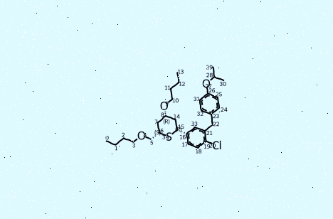 CCCCOC[C@@H]1C[C@H](OCCCC)C[C@H](c2ccc(Cl)c(Cc3ccc(OC(C)C)cc3)c2)S1